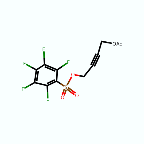 CC(=O)OCC#CCOS(=O)(=O)c1c(F)c(F)c(F)c(F)c1F